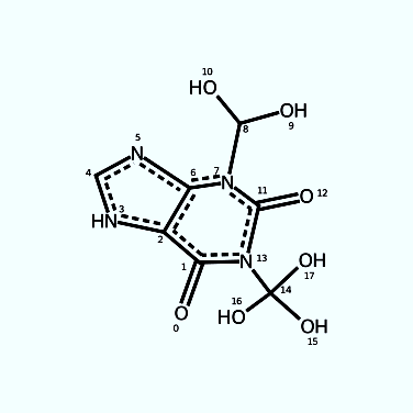 O=c1c2[nH]cnc2n(C(O)O)c(=O)n1C(O)(O)O